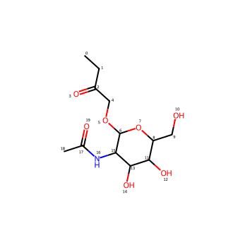 CCC(=O)COC1OC(CO)C(O)C(O)C1NC(C)=O